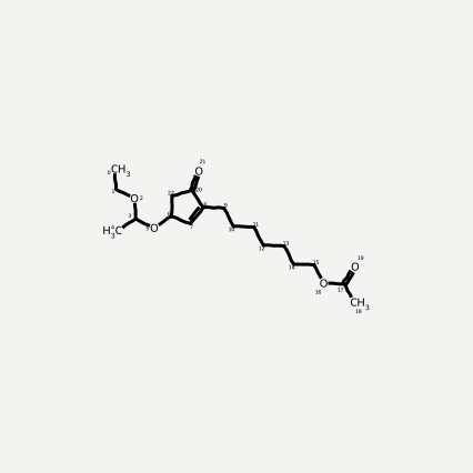 CCOC(C)OC1C=C(CCCCCCCOC(C)=O)C(=O)C1